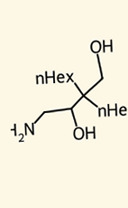 CCCCCCC(CO)(CCCCCC)C(O)CN